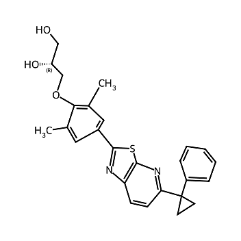 Cc1cc(-c2nc3ccc(C4(c5ccccc5)CC4)nc3s2)cc(C)c1OC[C@H](O)CO